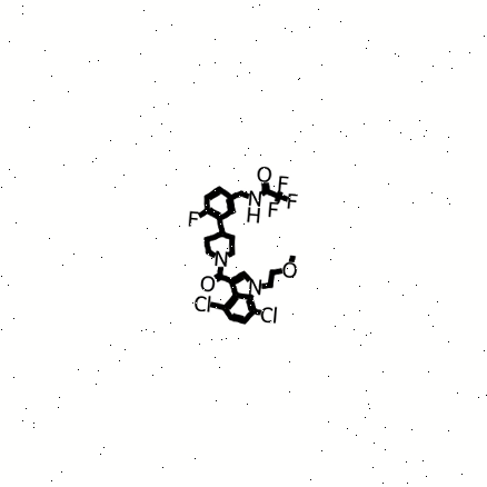 COCCn1cc(C(=O)N2CCC(c3cc(CNC(=O)C(F)(F)F)ccc3F)CC2)c2c(Cl)ccc(Cl)c21